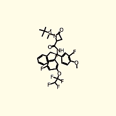 COc1ccc([C@@](Cc2ccccc2)(NC(=O)C2CC(=O)N2[Si](C)(C)C(C)(C)C)c2cc(F)cc(OC(F)(F)C(F)F)c2)cc1F